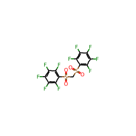 O=S(=O)(CS(=O)(=O)c1c(F)c(F)c(F)c(F)c1F)c1c(F)c(F)c(F)c(F)c1F